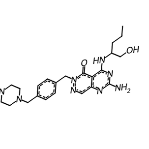 CCCC(CO)Nc1nc(N)nc2cnn(Cc3ccc(CN4CCNCC4)cc3)c(=O)c12